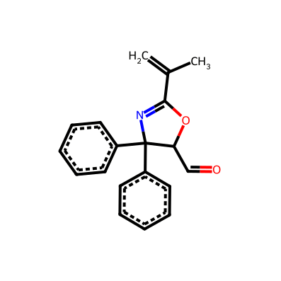 C=C(C)C1=NC(c2ccccc2)(c2ccccc2)C(C=O)O1